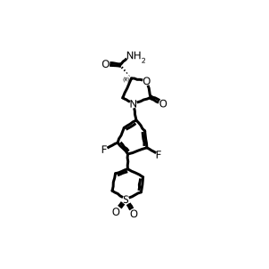 NC(=O)[C@H]1CN(c2cc(F)c(C3=CCS(=O)(=O)C=C3)c(F)c2)C(=O)O1